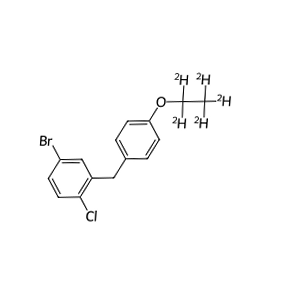 [2H]C([2H])([2H])C([2H])([2H])Oc1ccc(Cc2cc(Br)ccc2Cl)cc1